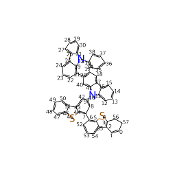 C1=Cc2c(sc3c(-c4cc(-n5c6ccccc6c6ccc(-c7cccc8c9ccccc9n(-c9ccccc9)c78)cc65)cc5c4sc4ccccc45)cccc23)CC1